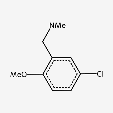 CNCc1cc(Cl)ccc1OC